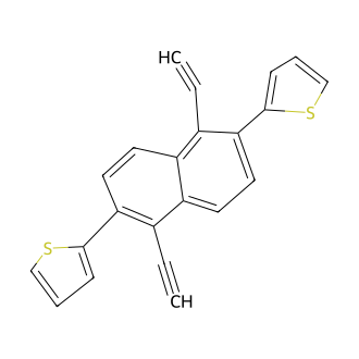 C#Cc1c(-c2cccs2)ccc2c(C#C)c(-c3cccs3)ccc12